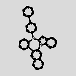 c1ccc(-c2ccc(N3c4ccccc4-c4cc5ccccc5cc4-n4c3cc3ccccc34)cc2)cc1